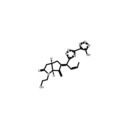 C=C1/C(=C(\C=C/C)c2noc(-c3snnc3CCC)n2)C[C@H]2CC(=O)N(CCO)[C@@H]12